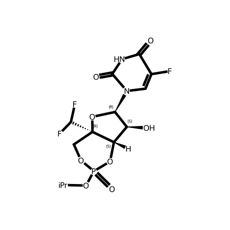 CC(C)OP1(=O)OC[C@@]2(C(F)F)O[C@@H](n3cc(F)c(=O)[nH]c3=O)[C@@H](O)[C@@H]2O1